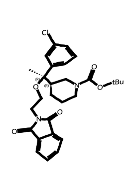 CC(C)(C)OC(=O)N1CCC[C@@H]([C@@](C)(OCCN2C(=O)c3ccccc3C2=O)c2cccc(Cl)c2)C1